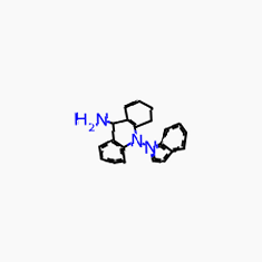 NC1C2=C(CCCC2)N(n2ccc3ccccc32)c2ccccc21